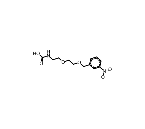 O=C(O)NCCOCCOCc1cccc([N+](=O)[O-])c1